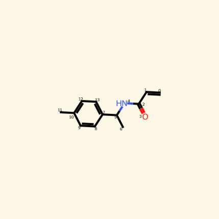 C=CC(=O)NC(C)c1ccc(C)cc1